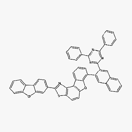 c1ccc(-c2nc(-c3ccccc3)nc(-c3cc4ccccc4cc3-c3cccc4c3oc3ccc5sc(-c6ccc7c(c6)oc6ccccc67)nc5c34)n2)cc1